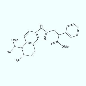 COC(=O)C(Cc1nc2c3c(ccc2[nH]1)N(C(O)OC)[C@@H](C)CC3)c1ccccc1